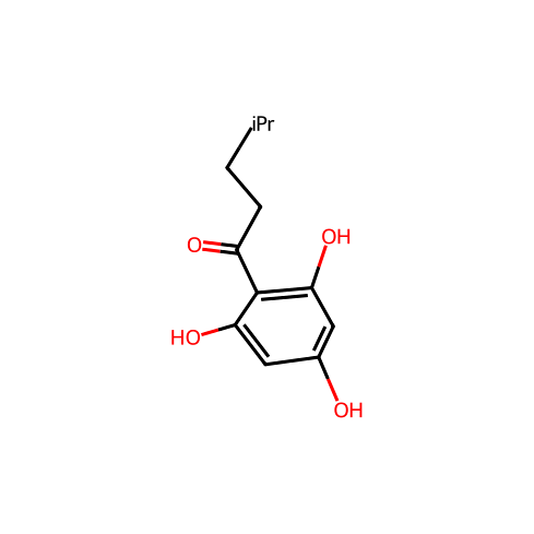 CC(C)CCC(=O)c1c(O)cc(O)cc1O